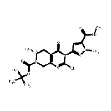 CNC(=O)c1cc(-n2c(Cl)nc3c(c2=O)C[C@@H](C)N(C(=O)OC(C)(C)C)C3)nn1C